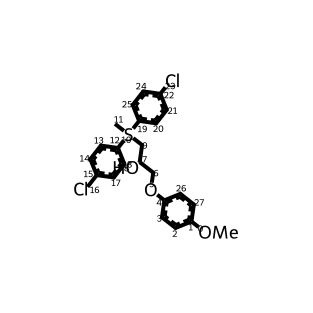 COc1ccc(OCC(O)CS(C)(c2ccc(Cl)cc2)c2ccc(Cl)cc2)cc1